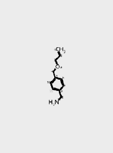 C=CCOCc1ccc(CN)cc1